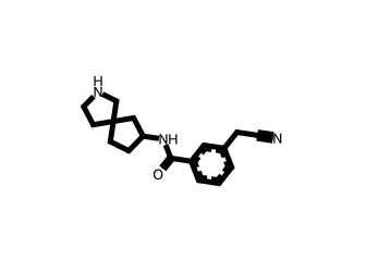 N#CCc1cccc(C(=O)NC2CCC3(CCNC3)C2)c1